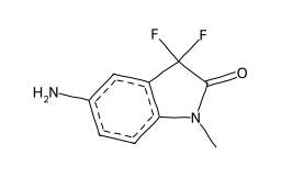 CN1C(=O)C(F)(F)c2cc(N)ccc21